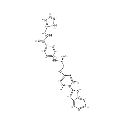 CCCC[C@@H](COc1cc(C)c(-c2cc3ccccc3o2)c(C)c1)Nc1ccc(C(=O)NCc2nnn[nH]2)cc1